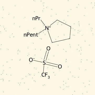 CCCCC[N+]1(CCC)CCCC1.O=S(=O)([O-])C(F)(F)F